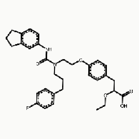 CCOC(Cc1ccc(OCCN(CCCc2ccc(F)cc2)C(=O)Nc2ccc3c(c2)CCC3)cc1)C(=O)O